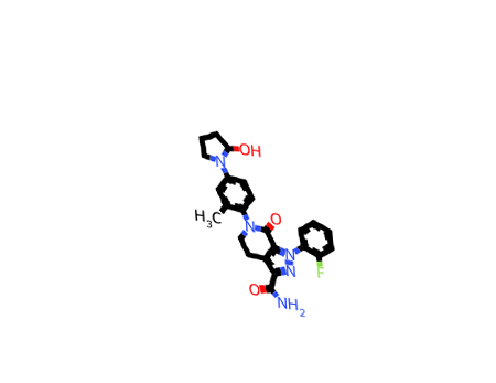 Cc1cc(N2CCCC2O)ccc1N1CCc2c(C(N)=O)nn(-c3ccccc3F)c2C1=O